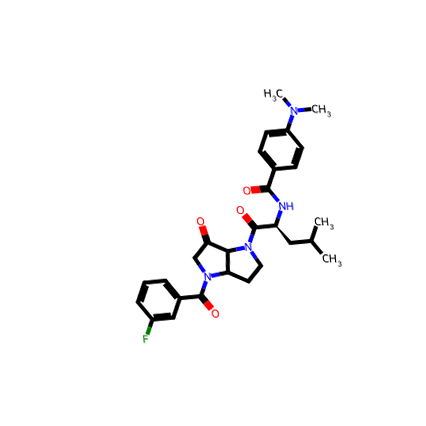 CC(C)C[C@H](NC(=O)c1ccc(N(C)C)cc1)C(=O)N1CCC2C1C(=O)CN2C(=O)c1cccc(F)c1